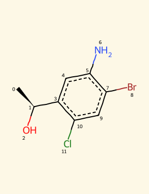 C[C@H](O)c1cc(N)c(Br)cc1Cl